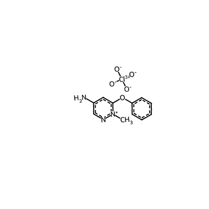 C[n+]1ncc(N)cc1Oc1ccccc1.[O-][Cl+3]([O-])([O-])[O-]